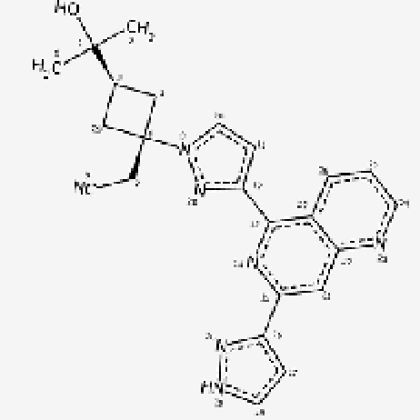 CC(C)(O)[C@H]1C[C@](CC#N)(n2ccc(-c3nc(-c4cc[nH]n4)cc4ncccc34)n2)C1